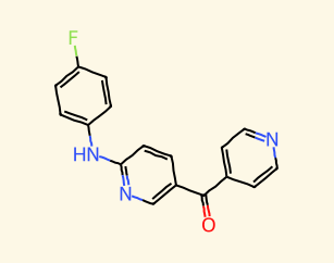 O=C(c1ccncc1)c1ccc(Nc2ccc(F)cc2)nc1